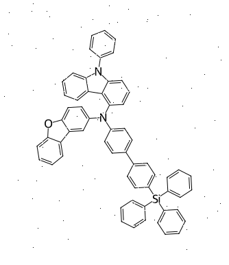 c1ccc(-n2c3ccccc3c3c(N(c4ccc(-c5ccc([Si](c6ccccc6)(c6ccccc6)c6ccccc6)cc5)cc4)c4ccc5oc6ccccc6c5c4)cccc32)cc1